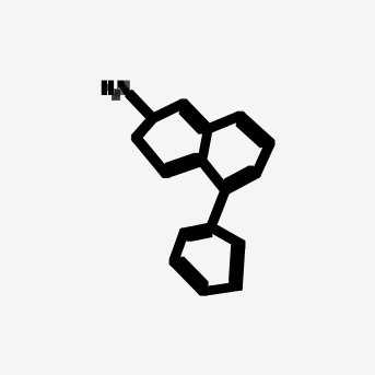 NC1C=c2cccc(-c3ccccc3)c2=CC1